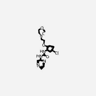 O=C(Nc1cnccn1)Nc1cc(Cl)ccc1OCCN1CCOCC1